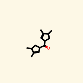 CC1=CC(C(=O)C2C=C(C)C(C)C2)CC1C